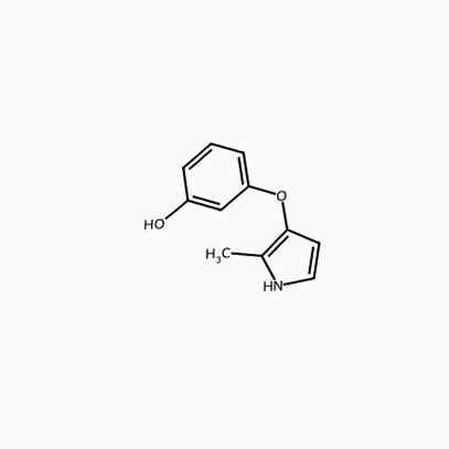 Cc1[nH]ccc1Oc1cccc(O)c1